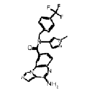 Cn1cc(N(Cc2ccc(C(F)(F)F)cc2)C(=O)c2ccc3nc(N)c4cncn4c3c2)cn1